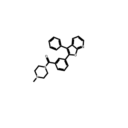 CN1CCN(C(=O)c2cccc(-c3oc4ncccc4c3-c3ccccc3)c2)CC1